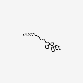 CCCCCCCCCCCCCCCC(Cl)OC(=O)CC